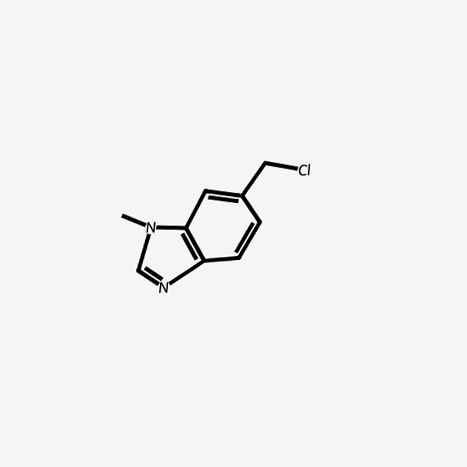 Cn1cnc2ccc(CCl)cc21